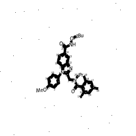 COc1ccc(-n2c(CN(C(=O)c3c(C)cc(C)cc3C)C(C)C)nc3cc(C(=O)NOC(C)(C)C)ccc32)cc1